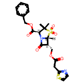 CC1(C)[C@H](C(=O)OCc2ccccc2)N2C(=O)[C@@H](COC(=O)Cc3nccs3)[C@H]2S1(=O)=O